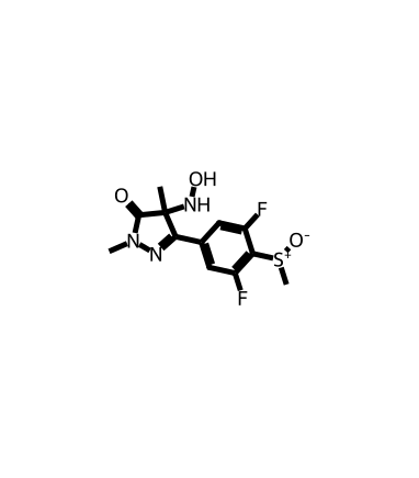 CN1N=C(c2cc(F)c([S+](C)[O-])c(F)c2)C(C)(NO)C1=O